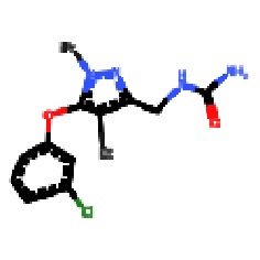 CCc1c(CNC(N)=O)nn(C(C)C)c1Oc1cccc(Cl)c1